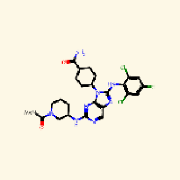 CNC(=O)N1CCCC(Nc2ncc3nc(Nc4c(Cl)cc(Cl)cc4Cl)n(C4CCC(C(N)=O)CC4)c3n2)C1